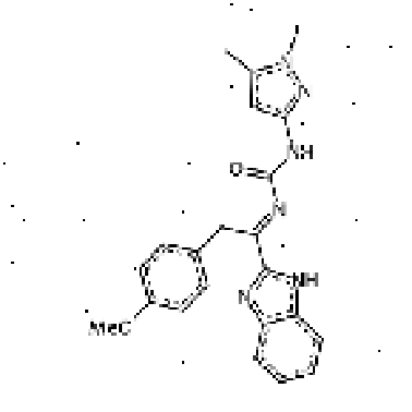 COc1ccc(C/C(=N\C(=O)Nc2cc(C)n(C)n2)c2nc3ccccc3[nH]2)cc1